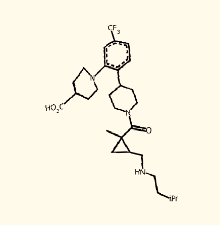 CC(C)CCNCC1CC1(C)C(=O)N1CCC(c2ccc(C(F)(F)F)cc2N2CCC(C(=O)O)CC2)CC1